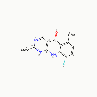 COc1ccc(F)cc1C(=O)c1cnc(SC)nc1N